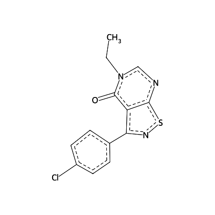 CCn1cnc2snc(-c3ccc(Cl)cc3)c2c1=O